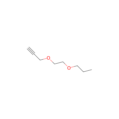 C#CCOCCOCCC